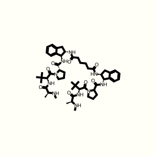 CN[C@@H](C)C(=O)N[C@H](C(=O)N1CCCC1C(=O)N[C@H]1c2ccccc2C[C@@H]1NC(=O)CCCCC(=O)N[C@H]1Cc2ccccc2[C@@H]1NC(=O)[C@@H]1CCCN1C(=O)[C@@H](NC(=O)[C@H](C)NC)C(C)(C)C)C(C)(C)C